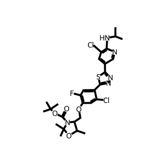 CC(C)Nc1ncc(-c2nnc(-c3cc(F)c(OCC4C(C)OC(C)(C)N4C(=O)OC(C)(C)C)cc3Cl)s2)cc1Cl